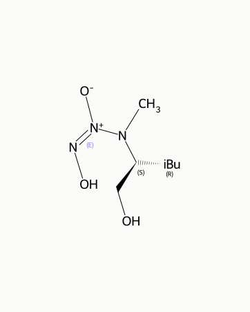 CC[C@@H](C)[C@@H](CO)N(C)/[N+]([O-])=N\O